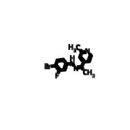 CC(=NNc1ccc(Br)c(F)c1)c1ccnc(C)c1